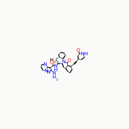 C[C@@H](NC(=O)c1c(N)nn2cccnc12)c1cc2cccc(C#Cc3cc[nH]c(=O)c3)c2c(=O)n1-c1ccccc1